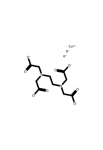 O=C([O-])CN(CCN(CC(=O)[O-])CC(=O)[O-])CC(=O)[O-].[Co+2].[K+].[K+]